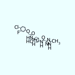 Cc1nc(C(=O)NC23CCC(NC(=O)COc4ccc(Cl)c(F)c4)(CC2)[C@H](O)C3)n[nH]1